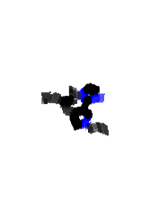 COC(C)OC.O=CN1CCCC(c2ncc[nH]2)C1